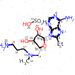 CCc1nc2c(N)ncnc2n1[C@@H]1O[C@H](CN(C)CCCN)[C@@H](O)[C@H]1O.O=S(=O)(O)O